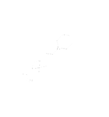 CC(O)[C@@H]1C[C@H](CCN2CCOCC2)C1(C)C